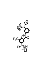 CC[C@@H](NC1(C)CCC1)c1cc2c(c(C(F)(F)F)c1)CN(c1cccc([C@H](c3nncn3C)C3COC3)c1)C2=O